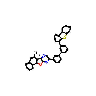 Cc1cc2ccccc2c2oc3nc(-c4cccc(-c5cccc(-c6cccc7c6sc6ccccc67)c5)c4)cnc3c12